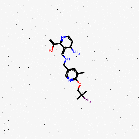 C=C(O)C1=NC=CC(N)/C1=C\NCc1cnc(OCC(C)(C)P)c(C)c1